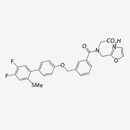 CSc1cc(F)c(F)cc1-c1ccc(OCc2cccc(C(=O)N(CC(=O)O)Cc3ncco3)c2)cc1